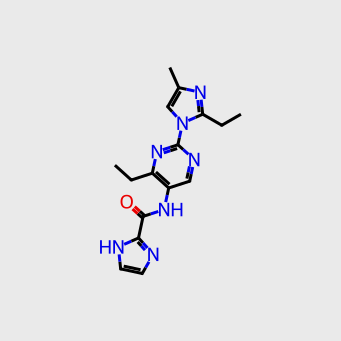 CCc1nc(-n2cc(C)nc2CC)ncc1NC(=O)c1ncc[nH]1